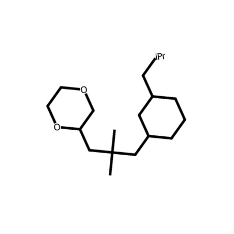 CC(C)CC1CCCC(CC(C)(C)CC2COCCO2)C1